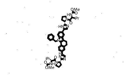 COC(=O)NC(C(=O)N1CCC[C@H]1c1ncc(-c2ccc3c(c2)c2c(n3Cc3ccccc3)-c3ccc(-c4cnc([C@@H]5CCCN5C(=O)[C@@H](NC(=O)OC)C(C)C)[nH]4)cc3CC2)[nH]1)C(C)C